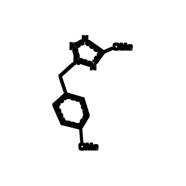 COc1ccc(Cn2nnc(OC)n2)cc1